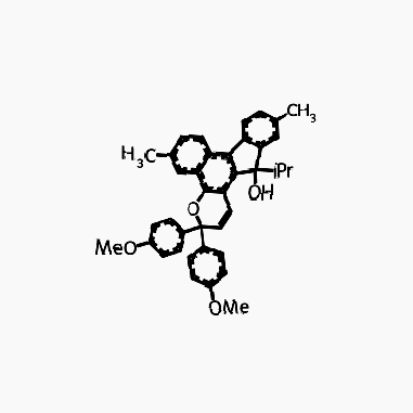 COc1ccc(C2(c3ccc(OC)cc3)C=Cc3c4c(c5ccc(C)cc5c3O2)-c2ccc(C)cc2C4(O)C(C)C)cc1